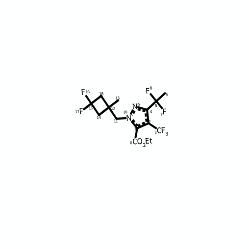 CCOC(=O)c1c(C(F)(F)F)c(C(C)(F)F)nn1CC1(C)CC(F)(F)C1